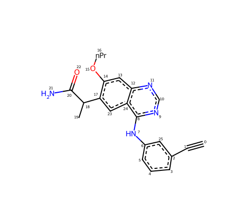 C#Cc1cccc(Nc2ncnc3cc(OCCC)c(C(C)C(N)=O)cc23)c1